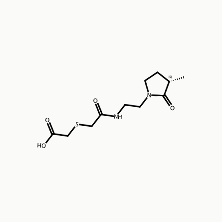 C[C@H]1CCN(CCNC(=O)CSCC(=O)O)C1=O